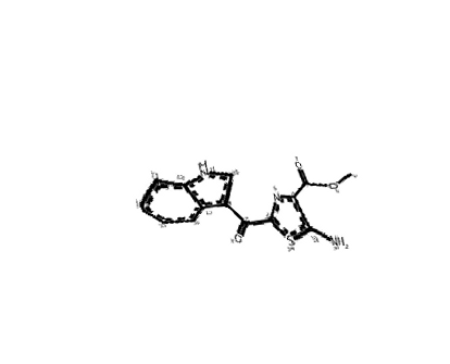 COC(=O)c1nc(C(=O)c2c[nH]c3ccccc23)sc1N